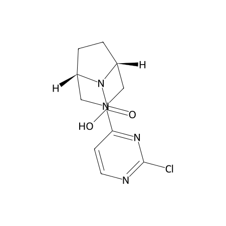 O=C(O)N1[C@@H]2CC[C@H]1CN(c1ccnc(Cl)n1)C2